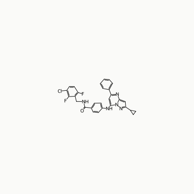 O=C(NCc1c(F)ccc(Cl)c1F)c1ccc(Nc2cc(-c3ccccc3)nc3cc(C4CC4)nn23)cc1